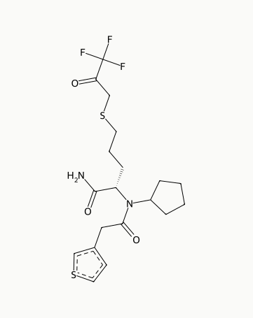 NC(=O)[C@H](CCCSCC(=O)C(F)(F)F)N(C(=O)Cc1ccsc1)C1CCCC1